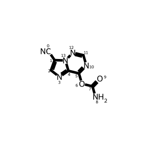 N#Cc1cnc2c(OC(N)=O)ncnn12